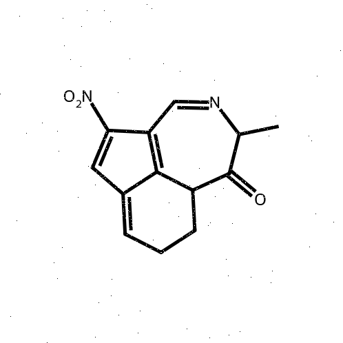 CC1N=CC2=C3C(=CCCC3C1=O)C=C2[N+](=O)[O-]